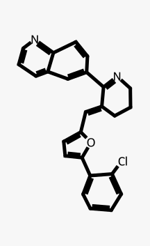 Clc1ccccc1-c1ccc(/C=C2\CCCN=C2c2ccc3ncccc3c2)o1